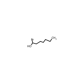 CCCCCC[C](O)Br